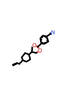 C=CCC1CCC(C2COC(c3ccc(C#N)cc3)OC2)CC1